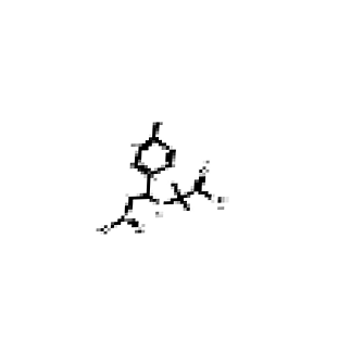 Cc1ccc(C(C[N+](=O)[O-])SC(C)(C)C(=O)O)cc1